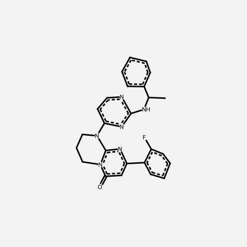 CC(Nc1nccc(N2CCCn3c2nc(-c2ccccc2F)cc3=O)n1)c1ccccc1